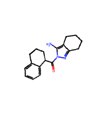 Nc1c2c(nn1C(=O)C1CCCc3ccccc31)CCCC2